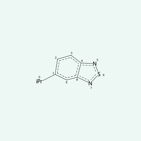 CC(C)c1ccc2nsnc2c1